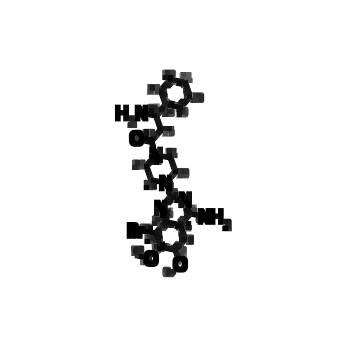 COc1cc2c(N)nc(N3CCN(C(=O)CC(N)c4ccccc4)CC3)nc2c(Br)c1OC